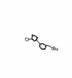 CC(C)(C)Cc1cccc(-c2cccc(Cl)c2)c1